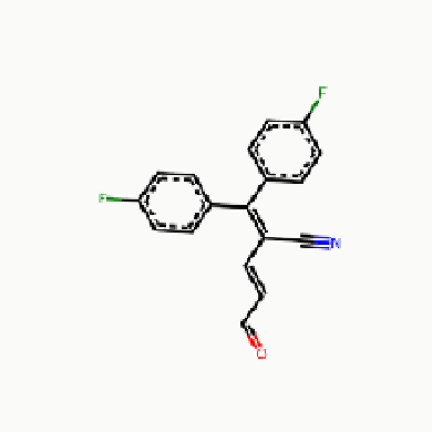 N#CC(/C=C/C=O)=C(c1ccc(F)cc1)c1ccc(F)cc1